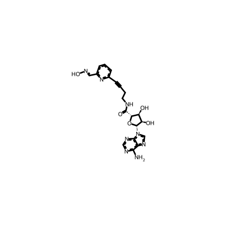 Nc1ncnc2c1ncn2[C@@H]1O[C@H](C(=O)NCCC#Cc2cccc(C=NO)n2)[C@@H](O)[C@H]1O